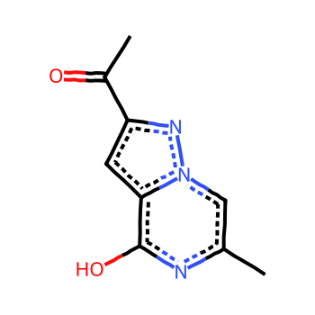 CC(=O)c1cc2c(O)nc(C)cn2n1